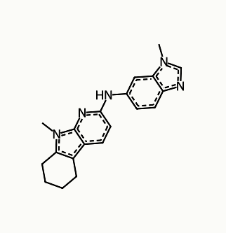 Cn1cnc2ccc(Nc3ccc4c5c(n(C)c4n3)CCCC5)cc21